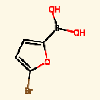 OB(O)c1ccc(Br)o1